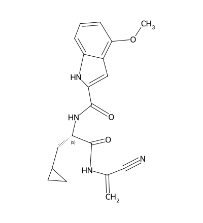 C=C(C#N)NC(=O)[C@H](CC1CC1)NC(=O)c1cc2c(OC)cccc2[nH]1